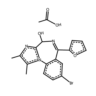 CC(=O)O.Cc1nc2n(c1C)-c1ccc(Br)cc1C(c1ccco1)=NC2O